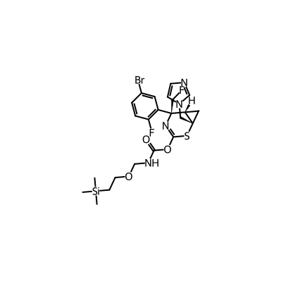 C[Si](C)(C)CCOCNC(=O)OC1=N[C@](CF)(c2cc(Br)ccc2F)[C@@H]2C[C@]2(Cn2ccnc2)S1